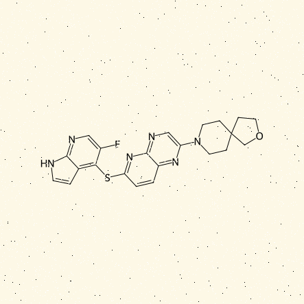 Fc1cnc2[nH]ccc2c1Sc1ccc2nc(N3CCC4(CCOC4)CC3)cnc2n1